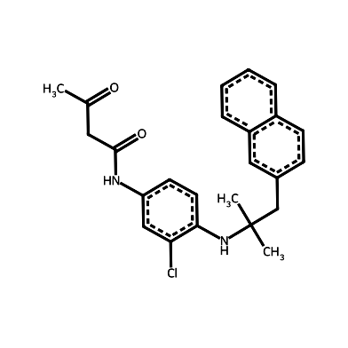 CC(=O)CC(=O)Nc1ccc(NC(C)(C)Cc2ccc3ccccc3c2)c(Cl)c1